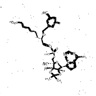 CCCCCCCCCCCCCCCC[C@@H](COP(=O)(O)OC[C@@]1(C#N)O[C@@H](c2ccc3c(N)ncnn23)[C@@H]2OC(C)(C)O[C@@H]21)OCc1cc(F)cc(C#N)c1